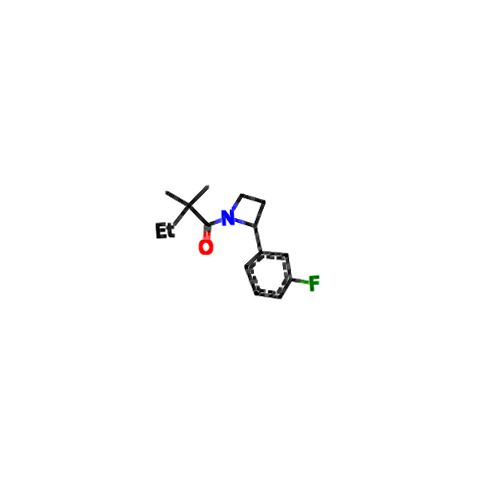 CCC(C)(C)C(=O)N1CCC1c1cccc(F)c1